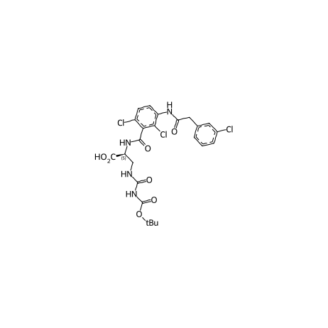 CC(C)(C)OC(=O)NC(=O)NC[C@H](NC(=O)c1c(Cl)ccc(NC(=O)Cc2cccc(Cl)c2)c1Cl)C(=O)O